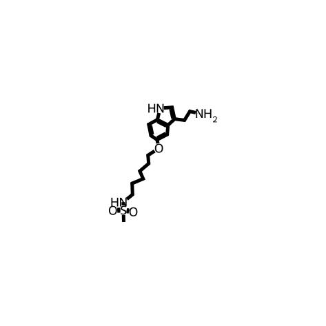 CS(=O)(=O)NCCCCCCOc1ccc2[nH]cc(CCN)c2c1